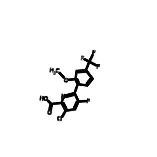 COc1cc(C(F)(F)F)ccc1-c1nc(C(=O)O)c(Cl)cc1F